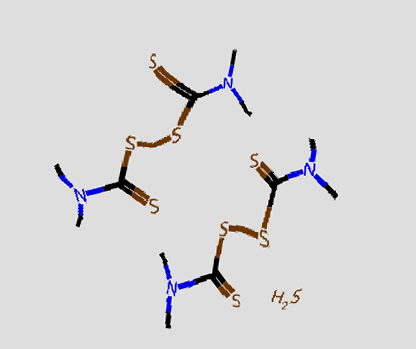 CN(C)C(=S)SSC(=S)N(C)C.CN(C)C(=S)SSC(=S)N(C)C.S